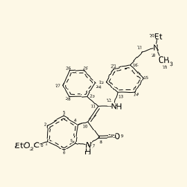 CCOC(=O)c1ccc2c(c1)NC(=O)/C2=C(\Nc1ccc(CN(C)CC)cc1)c1ccccc1